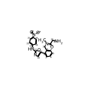 CN(Cc1ccccc1-c1cnc(Nc2ccc([N+](=O)[O-])cc2)o1)C(=O)CN